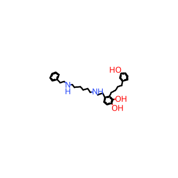 Oc1cccc(CCCCc2c(CCNCCCCCCNCCc3ccccc3)ccc(O)c2O)c1